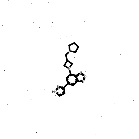 c1cc(-c2cc(N3CC(CN4CCCC4)C3)c3nonc3c2)n[nH]1